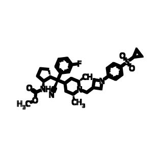 COC(=O)N[C@H]1CCC[C@@H]1[C@](C#N)(c1cccc(F)c1)C1C[C@@H](C)N(CC2CN(c3ccc(S(=O)(=O)C4CC4)cc3)C2)[C@@H](C)C1